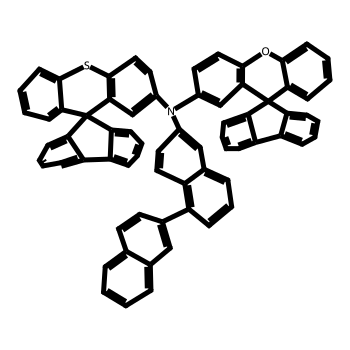 c1ccc2c(c1)Oc1ccc(N(c3ccc4c(c3)C3(c5ccccc5S4)c4ccccc4-c4ccccc43)c3ccc4c(-c5ccc6ccccc6c5)cccc4c3)cc1C21c2ccccc2-c2ccccc21